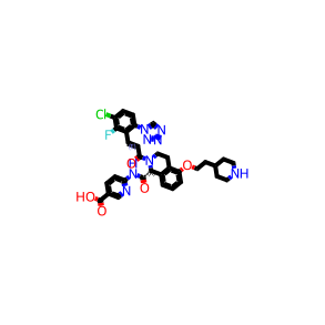 O=C(O)c1ccc(NC(=O)[C@H]2c3cccc(OCCC4CCNCC4)c3CCN2C(=O)/C=C/c2c(-n3cnnn3)ccc(Cl)c2F)nc1